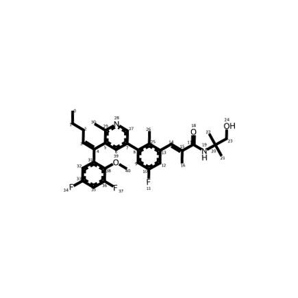 CCC/C=C(\c1cc(-c2cc(F)cc(/C=C(\C)C(=O)NC(C)(C)CO)c2C)cnc1C)c1cc(F)cc(F)c1OC